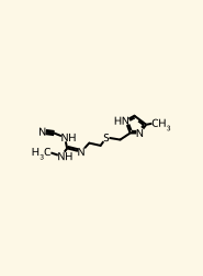 CNC(=NCCSCc1nc(C)c[nH]1)NC#N